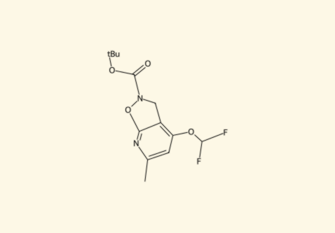 Cc1cc(OC(F)F)c2c(n1)ON(C(=O)OC(C)(C)C)C2